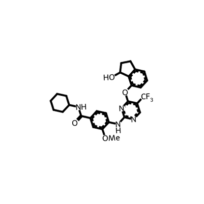 COc1cc(C(=O)NC2CCCCC2)ccc1Nc1ncc(C(F)(F)F)c(Oc2cccc3c2C(O)CC3)n1